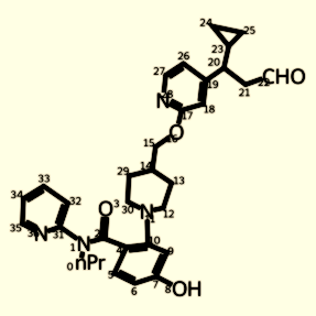 CCCN(C(=O)c1ccc(O)cc1N1CCC(COc2cc(C(CC=O)C3CC3)ccn2)CC1)c1ccccn1